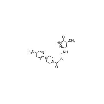 Cc1cc(NC[C@@H]2C[C@H]2C(=O)N2CCN(c3ncc(C(F)(F)F)cn3)CC2)n[nH]c1=O